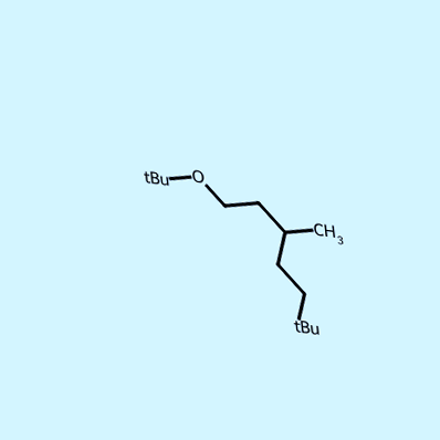 CC(CCOC(C)(C)C)CCC(C)(C)C